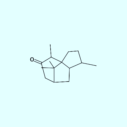 CC1CCC23C(C)C(=O)CC(CC12)C3(C)C